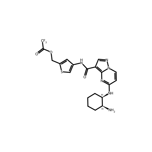 N[C@H]1CCCC[C@H]1Nc1ccn2ncc(C(=O)Nc3csc(COC(=O)C(F)(F)F)c3)c2n1